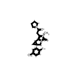 Cn1c(CC(=O)N2CCCC2)c2n(c1=S)C[C@@]1(c3cc(Cl)ccc3F)CC21